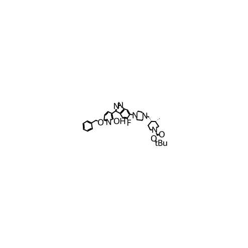 C[C@@H]1CN(C(=O)OC(C)(C)C)CC[C@@H]1CN1CCN(c2cc3c(cc2F)c(-c2ccc(OCc4ccccc4)nc2O)nn3C)CC1